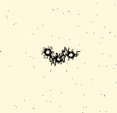 Fc1ccc2c(c1)ncn2-c1ncc2ncn(-c3ccccc3)c2n1